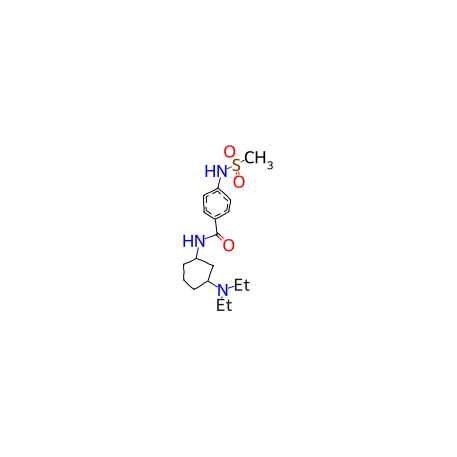 CCN(CC)C1CCCC(NC(=O)c2ccc(NS(C)(=O)=O)cc2)C1